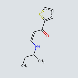 CCC(C)N/C=C\C(=O)c1cccs1